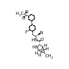 C[C@H]1[C@H]2[C@H]3C[C@H](N[C@@H]3C(=O)N[C@H](C#N)Cc3ccc(-c4cccc(S(C)(=O)=O)c4)cc3F)[C@@H]12